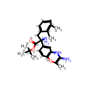 CC1=C(N)Nc2cc(C(N)(Cc3cccc(C)c3C)C(=O)OC(C)(C)C)ccc2O1